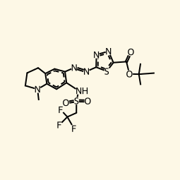 CN1CCCc2cc(N=Nc3nnc(C(=O)OC(C)(C)C)s3)c(NS(=O)(=O)CC(F)(F)F)cc21